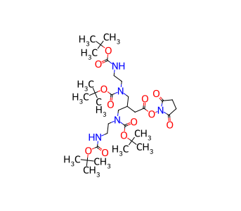 CC(C)(C)OC(=O)NCCN(CC(CC(=O)ON1C(=O)CCC1=O)CN(CCNC(=O)OC(C)(C)C)C(=O)OC(C)(C)C)C(=O)OC(C)(C)C